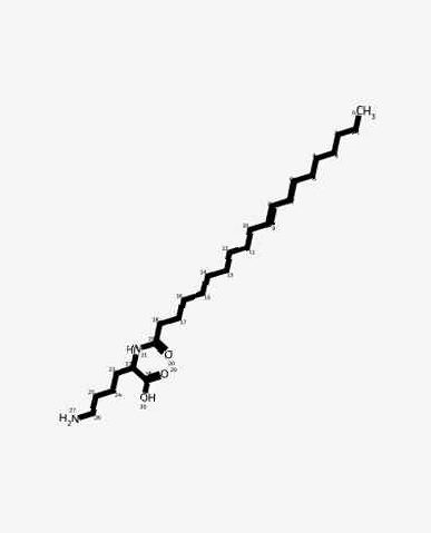 CCCCCCCCC=CCCCCCCCCCC(=O)NC(CCCCN)C(=O)O